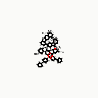 CC(C)(C)c1ccc(N2B3c4ccc(N(c5ccc(-c6ccccc6)cc5)c5ccc(-c6ccccc6)cc5)cc4N(c4ccc(C(C)(C)C)cc4-c4ccccc4)c4c3c(cc3c4C(C)(C)c4ccccc4-3)-c3c2ccc2sc4cc5c(cc4c32)C(C)(C)CCC5(C)C)cc1